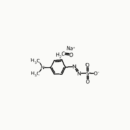 C=O.CN(C)c1ccc(/N=N/S(=O)(=O)[O-])cc1.[Na+]